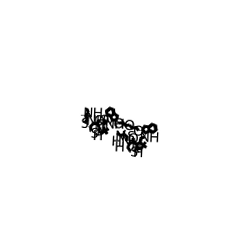 CN[C@@H](C)C(=S)N[C@H]1CCS[C@H]2CC(C)(C)C(CN[C@H]3c4ccccc4C[C@H]3OCCOCCO[C@@H]3Cc4ccccc4[C@@H]3NC(=O)[C@H]3N4C(=O)[C@@H](NC(=S)[C@H](C)NC)CCS[C@H]4CC3(C)C)N2C1=O